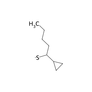 CCCCC([S])C1CC1